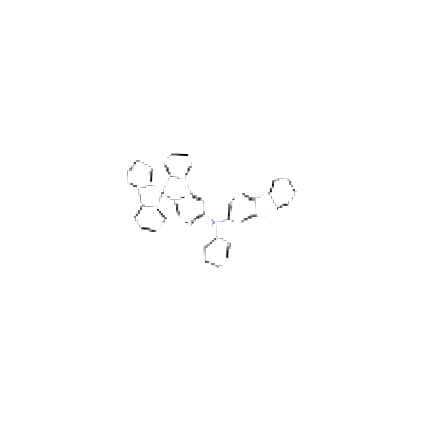 c1ccc(N(c2ccc3c(c2)-c2ccccc2C32c3ccccc3-c3ccccc32)c2ccc3c(c2)sc2ccccc23)cc1